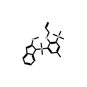 C=CCOc1c([Si](C)(C)C)cc(C)cc1[Si](C)(C)C1C(OC)=Cc2ccccc21